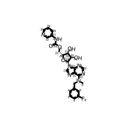 CN(Cc1cccc(F)c1)c1ncnc2c1ncn2[C@@H]1O[C@H](COC(=O)Nc2cccnc2)[C@@H](O)[C@H]1O